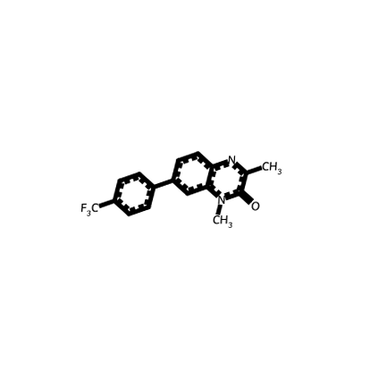 Cc1nc2ccc(-c3ccc(C(F)(F)F)cc3)cc2n(C)c1=O